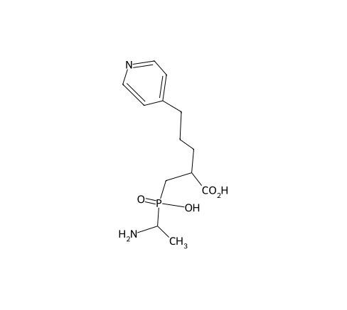 CC(N)P(=O)(O)CC(CCCc1ccncc1)C(=O)O